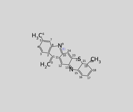 C=Cc1ccc(C)cc1/N=C1\C=CC2=NC3=CC=CC(C)C3SC2=C1